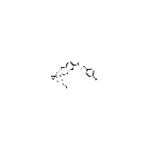 N#Cc1ccc(CNC(=O)c2ccc3n(c2=O)CCN(CC2(S(=O)(=O)CCCO)CC2)C3=O)cc1